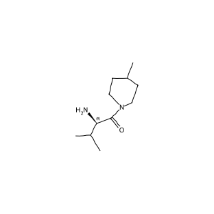 CC1CCN(C(=O)[C@H](N)C(C)C)CC1